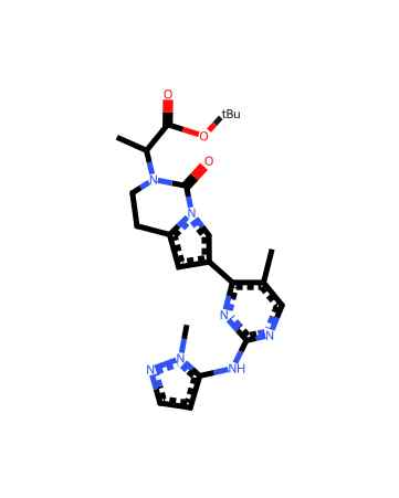 Cc1cnc(Nc2ccnn2C)nc1-c1cc2n(c1)C(=O)N(C(C)C(=O)OC(C)(C)C)CC2